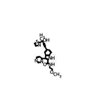 COCCNC(=O)c1[nH]c2ccc(C#CC(C)(O)c3nccs3)cc2c1-c1ccncn1